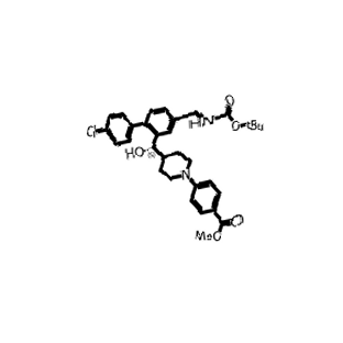 COC(=O)c1ccc(N2CCC([C@H](O)c3cc(CNC(=O)OC(C)(C)C)ccc3-c3ccc(Cl)cc3)CC2)cc1